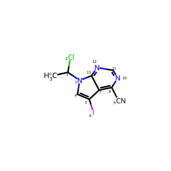 CC(Cl)n1cc(I)c2c(C#N)ncnc21